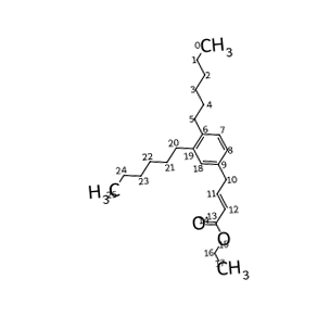 CCCCCCc1ccc(C/C=C/C(=O)OCC)cc1CCCCCC